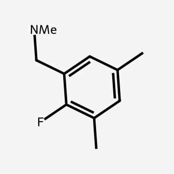 CNCc1cc(C)cc(C)c1F